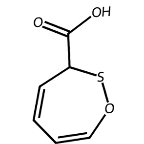 O=C(O)C1C=CC=COS1